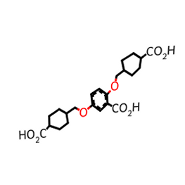 O=C(O)c1cc(OCC2CCC(C(=O)O)CC2)ccc1OCC1CCC(C(=O)O)CC1